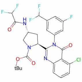 CC(C)(C)OC(=O)N1C[C@H](NC(=O)C(F)F)C[C@H]1c1nc2cccc(Cl)c2c(=O)n1-c1cc(F)cc(C(F)F)c1